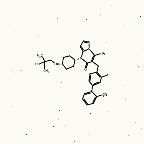 CCCc1c(Cc2ccc(-c3ccccc3C#N)cc2F)c(=O)n([C@H]2CC[C@H](OCC(C)(C)O)CC2)c2ccnn12